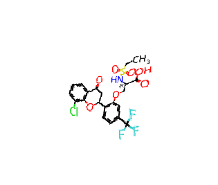 CCS(=O)(=O)N[C@H](COc1cc(C(F)(F)F)ccc1C1CC(=O)c2cccc(Cl)c2O1)C(=O)O